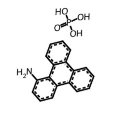 Nc1cccc2c3ccccc3c3ccccc3c12.O=P(O)(O)O